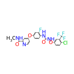 CNC(=O)c1cc(Oc2ccc(NC(=O)NOc3ccc(Cl)c(C(F)(F)F)c3)c(F)c2)ccn1